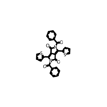 O=C1C2=C(c3cccs3)N(C(=O)c3ccccc3)C(=O)C2=C(c2cccs2)N1C(=O)c1ccccc1